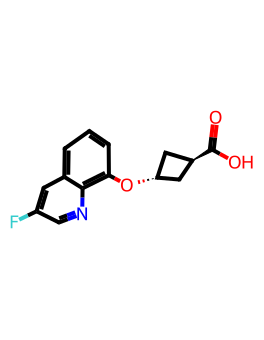 O=C(O)[C@H]1C[C@H](Oc2cccc3cc(F)cnc23)C1